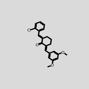 COc1cc(C=C2CCCC(=Cc3ccccc3Cl)C2=O)cc(OC)c1